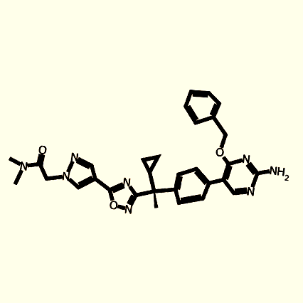 CN(C)C(=O)Cn1cc(-c2nc([C@@](C)(c3ccc(-c4cnc(N)nc4OCc4ccccc4)cc3)C3CC3)no2)cn1